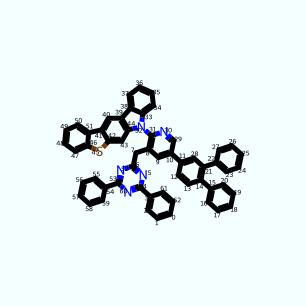 c1ccc(-c2nc(Cc3cc(-c4ccc(-c5ccccc5)c(-c5ccccc5)c4)cnc3-n3c4ccccc4c4cc5c(cc43)sc3ccccc35)nc(-c3ccccc3)n2)cc1